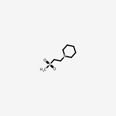 CS(=O)(=O)CCN1C[CH]CCC1